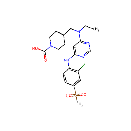 CCN(CC1CCN(C(=O)O)CC1)c1cc(Nc2ccc(S(C)(=O)=O)cc2F)ncn1